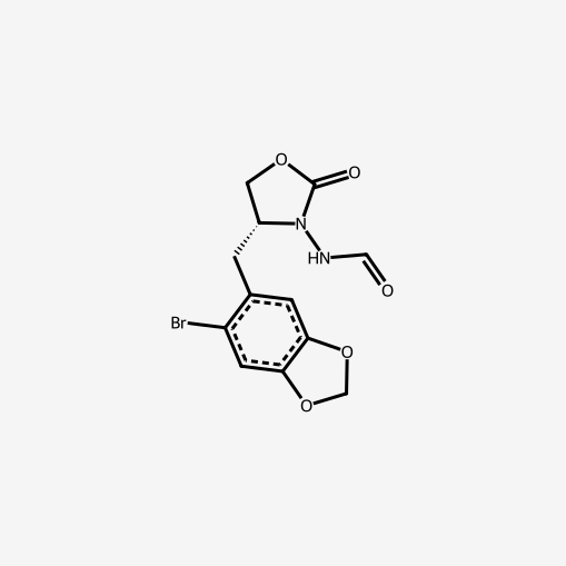 O=CNN1C(=O)OC[C@H]1Cc1cc2c(cc1Br)OCO2